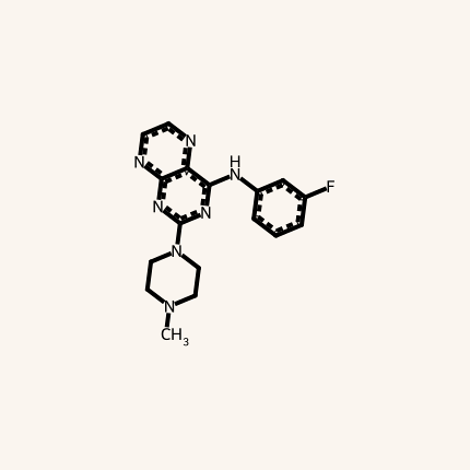 CN1CCN(c2nc(Nc3cccc(F)c3)c3nccnc3n2)CC1